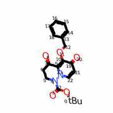 CC(C)(C)OC(=O)N1CCC(=O)c2c(OCc3ccccc3)c(=O)ccn21